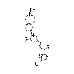 CCN1CCc2ccc(N3C[C@@H](CNC(=S)c4ccc(Cl)s4)CC3=S)cc2CC1